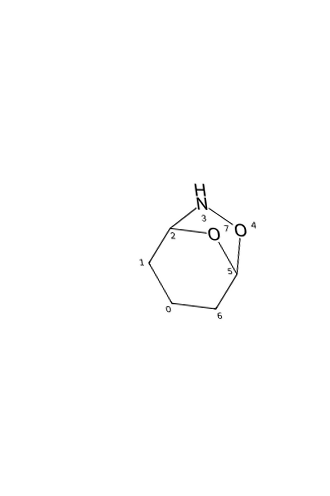 C1CC2NOC(C1)O2